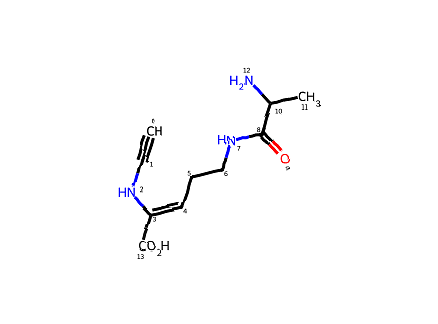 C#CNC(=CCCNC(=O)C(C)N)C(=O)O